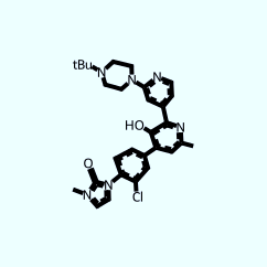 Cc1cc(-c2ccc(-n3ccn(C)c3=O)c(Cl)c2)c(O)c(-c2ccnc(N3CCN(C(C)(C)C)CC3)c2)n1